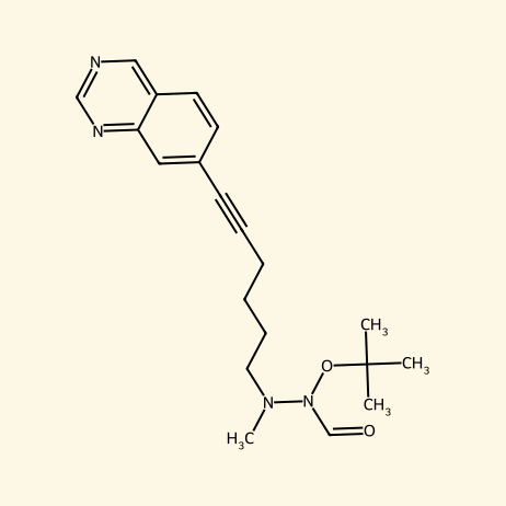 CN(CCCCC#Cc1ccc2cncnc2c1)N(C=O)OC(C)(C)C